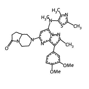 COc1ccc(-c2c(C)nn3c(N(C)c4sc(C)nc4C)cc(N4CCN5C(=O)CCC5C4)nc23)cc1OC